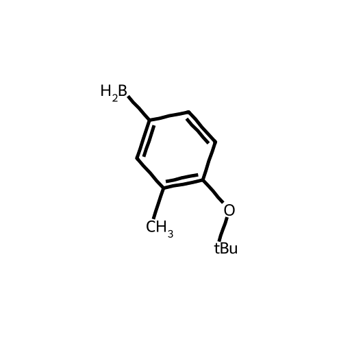 Bc1ccc(OC(C)(C)C)c(C)c1